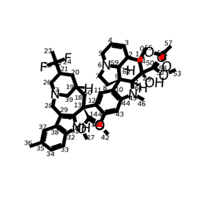 CC[C@]12C=CCN3CC[C@@]4(c5cc([C@@]6(C(=O)OC)C[C@H]7CC(C(C)(F)F)CN(Cc8c6[nH]c6ccc(C)cc86)C7)c(OC)cc5N(C)[C@H]4[C@@](O)(C(=O)OC)[C@@H]1OC(C)=O)[C@@H]32